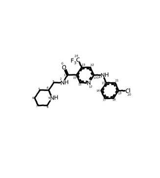 O=C(NCC1CCCCN1)c1cnc(Nc2cccc(Cl)c2)cc1C(F)(F)F